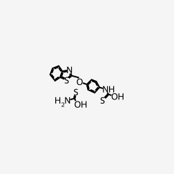 NC(O)=S.OC(=S)Nc1ccc(OCc2nc3ccccc3s2)cc1